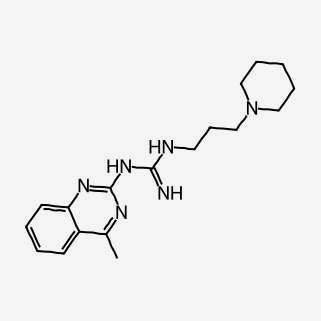 Cc1nc(NC(=N)NCCCN2CCCCC2)nc2ccccc12